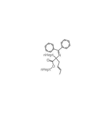 C/C=C/CC(CCCCCCC)(N=C(c1ccccc1)c1ccccc1)C(=O)OCCCCCCC